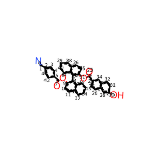 N#Cc1ccc(C(=O)Oc2ccc3ccccc3c2-c2c(OC(=O)c3ccc4cc(O)ccc4c3)ccc3ccccc23)cc1